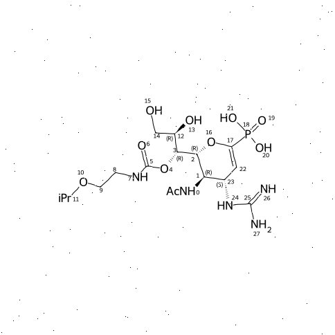 CC(=O)N[C@H]1[C@H]([C@H](OC(=O)NCCOC(C)C)[C@H](O)CO)OC(P(=O)(O)O)=C[C@@H]1NC(=N)N